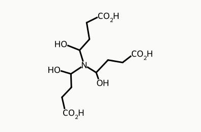 O=C(O)CCC(O)N(C(O)CCC(=O)O)C(O)CCC(=O)O